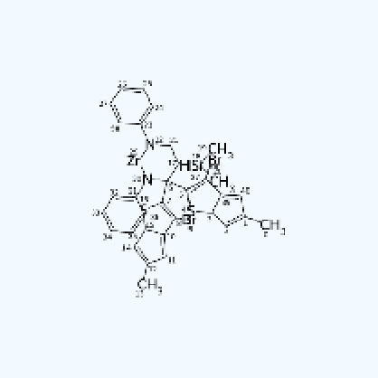 CC1=CC2SC(C3(C4=C(Br)C5=CC(C)=CC5S4)C([SiH](C)C)C[N](c4ccccc4)[Zr][N]3c3ccccc3)=C(Br)C2=C1